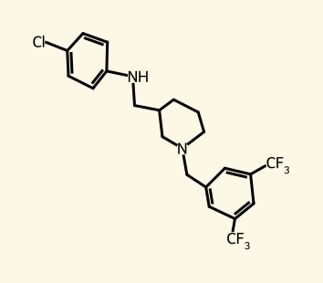 FC(F)(F)c1cc(CN2CCCC(CNc3ccc(Cl)cc3)C2)cc(C(F)(F)F)c1